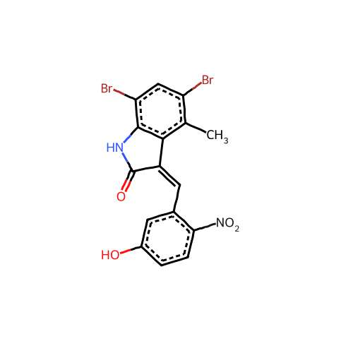 Cc1c(Br)cc(Br)c2c1C(=Cc1cc(O)ccc1[N+](=O)[O-])C(=O)N2